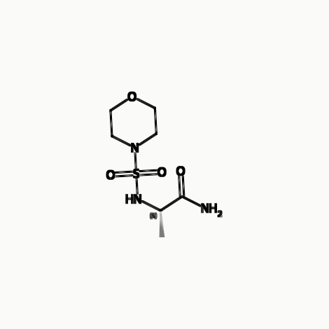 C[C@H](NS(=O)(=O)N1CCOCC1)C(N)=O